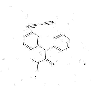 CN(C)C(=O)C(c1ccccc1)c1ccccc1.N#CC#N